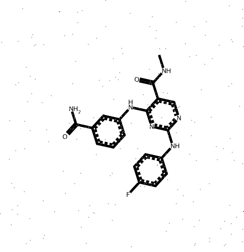 CNC(=O)c1cnc(Nc2ccc(F)cc2)nc1Nc1cccc(C(N)=O)c1